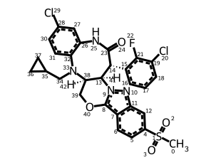 CS(=O)(=O)c1ccc2c3n(nc2c1)[C@@H]1[C@@H](c2cccc(Cl)c2F)C(=O)Nc2cc(Cl)ccc2N(CC2CC2)[C@@H]1CO3